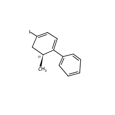 C[C@H]1CC(I)=CC=C1c1ccccc1